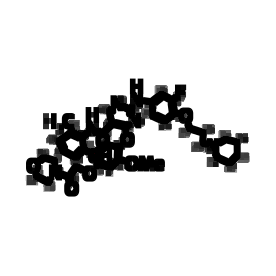 COc1cc(OCC(=O)N2CCOCC2)ccc1Oc1nc(Nc2ccc(OCCCN3CCCCC3)c(F)c2)ncc1C(=O)Nc1c(C)cccc1C